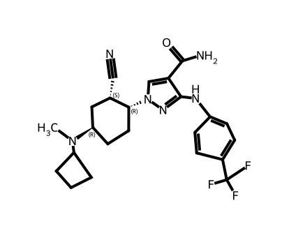 CN(C1CCC1)[C@@H]1CC[C@@H](n2cc(C(N)=O)c(Nc3ccc(C(F)(F)F)cc3)n2)[C@@H](C#N)C1